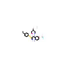 CCc1ccc(S(=O)(=O)c2cnc3ccc(OC(F)(F)F)cc3c2N2CCC(CO)CC2)cc1